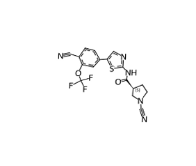 N#Cc1ccc(-c2cnc(NC(=O)[C@H]3CCN(C#N)C3)s2)cc1OC(F)(F)F